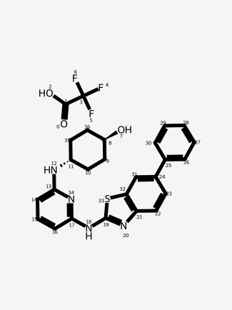 O=C(O)C(F)(F)F.O[C@H]1CC[C@H](Nc2cccc(Nc3nc4ccc(-c5ccccc5)cc4s3)n2)CC1